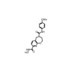 COc1ccc(NC(=O)N2CCOc3nc(C(=O)NO)ccc3C2)cc1